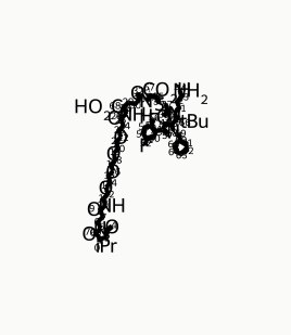 CC(C)C1CC(=O)N(CCC(=O)NCCOCCOCCOCCOCCC(=O)N[C@@H](CCC(=O)N[C@@H](CSCC(=O)N(CCCN)[C@@H](c2cc(-c3cc(F)ccc3F)cn2Cc2ccccc2)C(C)(C)C)C(=O)O)C(=O)O)C1=O